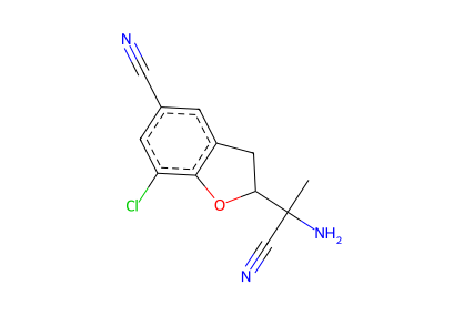 CC(N)(C#N)C1Cc2cc(C#N)cc(Cl)c2O1